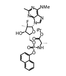 CNc1nc(C)nc2c1ncn2[C@@H]1O[C@H](CO[P@](=O)(N[C@@H](C)C(=O)OC(C)C)Oc2cccc3ccccc23)[C@@H](O)[C@@]1(C)F